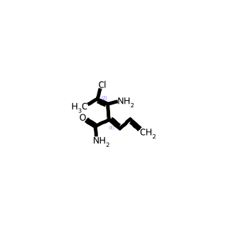 C=C/C=C(C(N)=O)\C(N)=C(/C)Cl